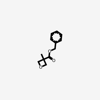 CC1(C(=O)OCc2ccccc2)COC1